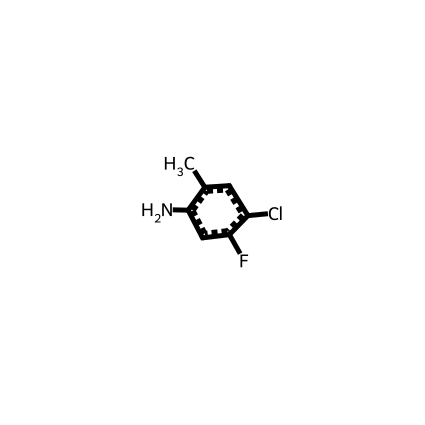 Cc1cc(Cl)c(F)cc1N